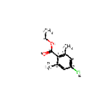 CCOC(=O)c1c(C)cc(Cl)cc1C